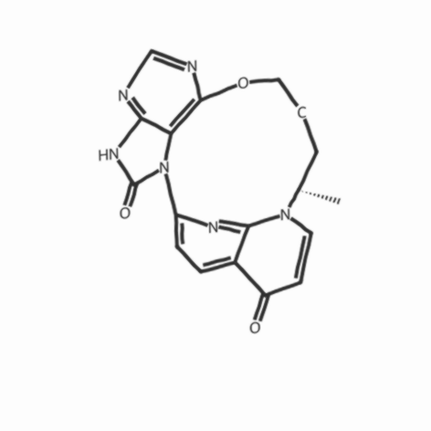 C[C@H]1CCCOc2ncnc3[nH]c(=O)n(c23)-c2ccc3c(=O)ccn1c3n2